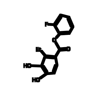 CCc1c(C(=O)Oc2ccccc2F)ccc(O)c1O